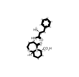 O=C(N[C@H]1CCS[C@H]2CCC[C@@H](C(=O)O)N2C1=O)[C@H](S)Cc1ccccc1